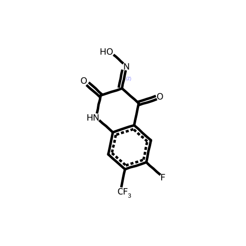 O=C1Nc2cc(C(F)(F)F)c(F)cc2C(=O)/C1=N/O